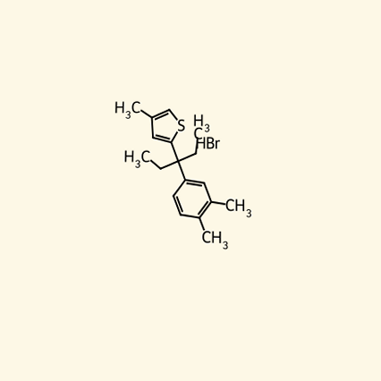 Br.CCC(CC)(c1ccc(C)c(C)c1)c1cc(C)cs1